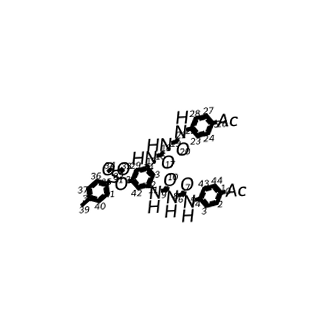 CC(=O)c1ccc(NC(=O)NC(=O)Nc2cc(NC(=O)NC(=O)Nc3ccc(C(C)=O)cc3)cc(OS(=O)(=O)c3ccc(C)cc3)c2)cc1